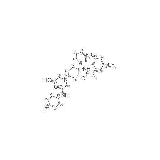 CC(C(=O)N[C@]1(c2ccccc2)CC[C@@H](N(CCO)CC(=O)Nc2ccc(F)cc2)CC1)c1cc(C(F)(F)F)cc(C(F)(F)F)c1